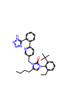 CCCCc1cn(-c2c(CC)cccc2C(C)(C)C)c(=O)n1Cc1ccc(-c2ccccc2-c2nnn[nH]2)nc1